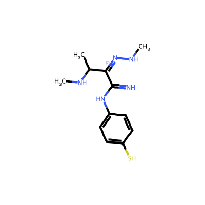 CN/N=C(\C(=N)Nc1ccc(S)cc1)C(C)NC